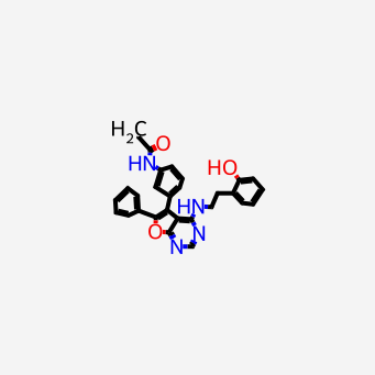 C=CC(=O)Nc1cccc(-c2c(-c3ccccc3)oc3ncnc(NCCc4ccccc4O)c23)c1